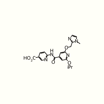 CC(C)Oc1cc(C(=O)Nc2ccc(C(=O)O)cn2)cc(OCc2nccn2C)n1